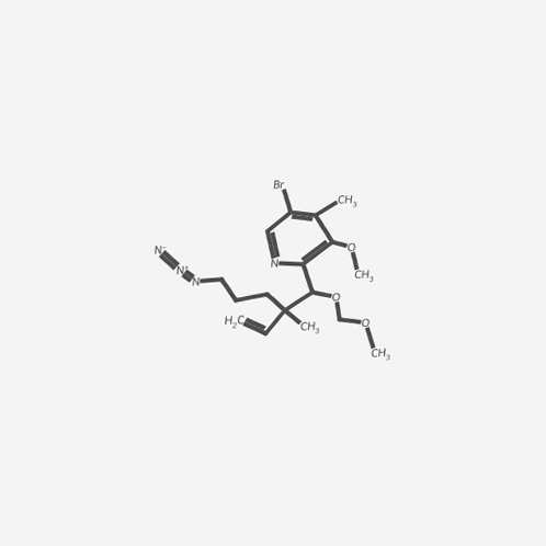 C=CC(C)(CCCN=[N+]=[N-])C(OCOC)c1ncc(Br)c(C)c1OC